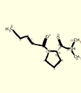 CC/C=C/C(=O)N1CCC[C@H]1C(=O)[SH](C)C